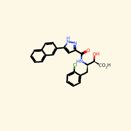 O=C(N[C@H](Cc1ccccc1Cl)[C@@H](O)C(=O)O)c1cc(-c2ccc3ccccc3c2)[nH]n1